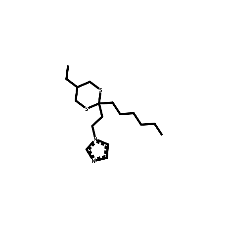 CCCCCCC1(CCn2ccnc2)SCC(CC)CS1